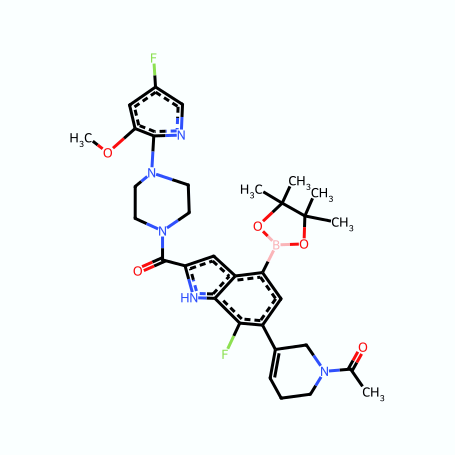 COc1cc(F)cnc1N1CCN(C(=O)c2cc3c(B4OC(C)(C)C(C)(C)O4)cc(C4=CCCN(C(C)=O)C4)c(F)c3[nH]2)CC1